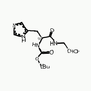 CC(C)(C)OC(=O)N[C@@H](Cc1cnc[nH]1)C(=O)NC[C]=O